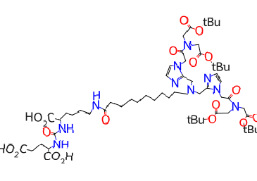 CC(C)(C)OC(=O)CN(CC(=O)OC(C)(C)C)C(=O)Cn1ccnc1CN(CCCCCCCCCCC(=O)NCCCCC(NC(=O)NC(CCC(=O)O)C(=O)O)C(=O)O)Cc1nccn1CC(=O)N(CC(=O)OC(C)(C)C)CC(=O)OC(C)(C)C